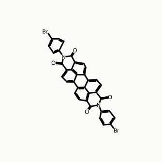 O=C1c2ccc3c4ccc5c6c(ccc(c7ccc(c2c37)C(=O)N1c1ccc(Br)cc1)c64)C(=O)N(c1ccc(Br)cc1)C5=O